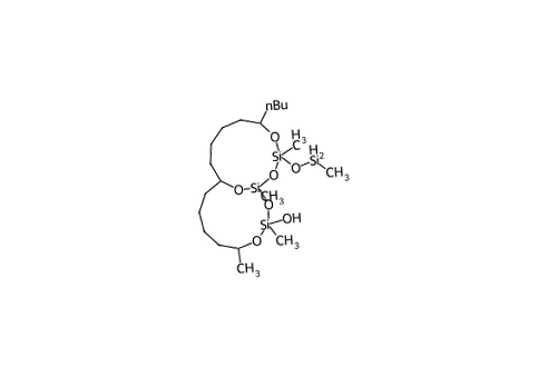 CCCCC1CCCCC2CCCCC(C)O[Si](C)(O)O[Si](C)(O2)O[Si](C)(O[SiH2]C)O1